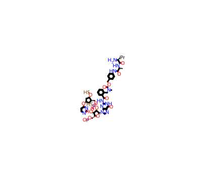 CC(C)[C@H](N)C(=O)N[C@@H](C)C(=O)Nc1ccc(COC(=O)N(C)Cc2ccccc2C(=O)Nc2nc3c(ncn3[C@@H]3O[C@H](COP=O)[C@@H](O)[C@H]3OP(=O)(S)OC[C@H]3C[C@@H](Oc4ccncn4)C[C@@H]3OS)c(=O)[nH]2)cc1